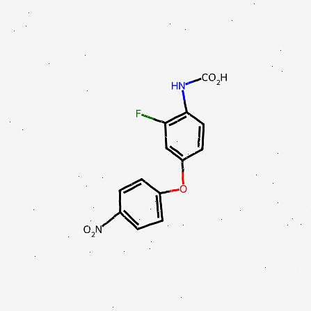 O=C(O)Nc1ccc(Oc2ccc([N+](=O)[O-])cc2)cc1F